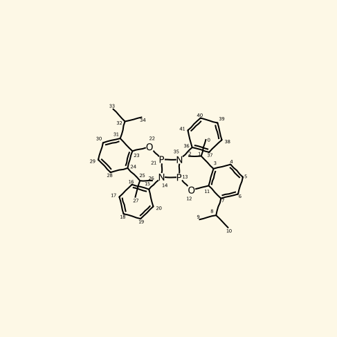 CC(C)c1cccc(C(C)C)c1OP1N(c2ccccc2)P(Oc2c(C(C)C)cccc2C(C)C)N1c1ccccc1